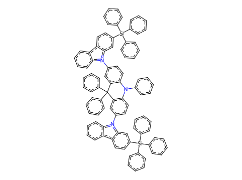 c1ccc(N2c3ccc(-n4c5ccccc5c5ccc([Si](c6ccccc6)(c6ccccc6)c6ccccc6)cc54)cc3C(c3ccccc3)(c3ccccc3)c3cc(-n4c5ccccc5c5ccc([Si](c6ccccc6)(c6ccccc6)c6ccccc6)cc54)ccc32)cc1